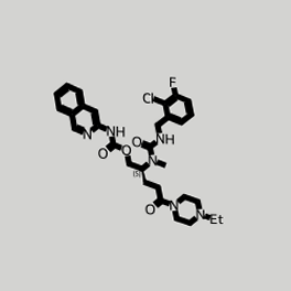 CCN1CCN(C(=O)CC[C@@H](COC(=O)Nc2cc3ccccc3cn2)N(C)C(=O)NCc2cccc(F)c2Cl)CC1